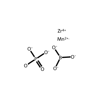 O=P([O-])([O-])[O-].[Mn+2].[O-]B([O-])[O-].[Zr+4]